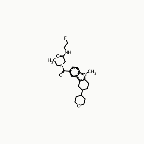 CCN(CC(=O)NCCF)C(=O)c1ccc2c(c1)c1c(n2C)CCC(C2CCOCC2)C1